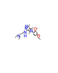 CCOc1ccc(-n2c(C)c3c(C)nnc(NCCCN(CC)CC)c3c2C)c(OC)c1